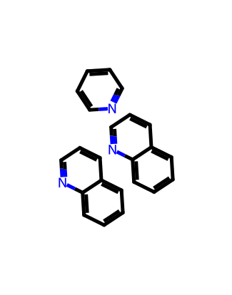 c1ccc2ncccc2c1.c1ccc2ncccc2c1.c1ccncc1